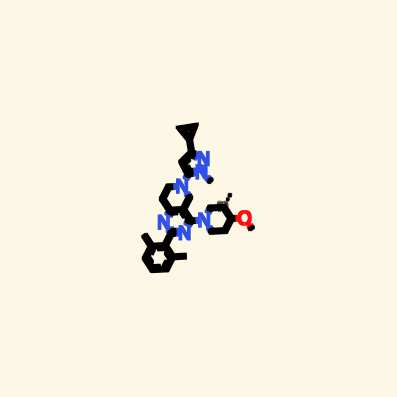 COC1CCN(c2nc(-c3c(C)cccc3C)nc3c2CN(c2cc(C4CC4)nn2C)CC3)C[C@@H]1C